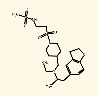 CCN(CC1CCN(S(=O)(=O)CCNS(C)(=O)=O)CC1)C(C)Cc1ccc2c(c1)CCO2